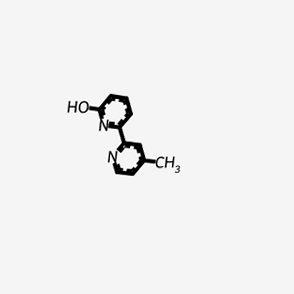 Cc1ccnc(-c2cccc(O)n2)c1